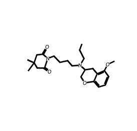 CCCN(CCCCN1C(=O)CC(C)(C)CC1=O)C1COc2cccc(OC)c2C1